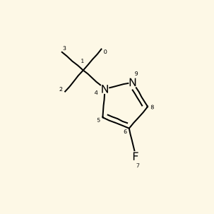 CC(C)(C)n1cc(F)cn1